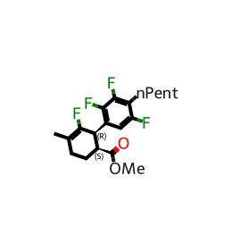 CCCCCc1c(F)cc([C@@H]2C(F)=C(C)CC[C@@H]2C(=O)OC)c(F)c1F